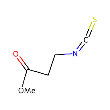 COC(=O)CCN=C=S